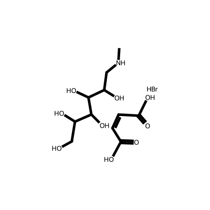 Br.CNCC(O)C(O)C(O)C(O)CO.O=C(O)/C=C\C(=O)O